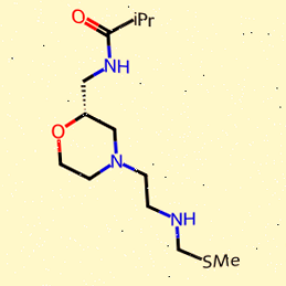 CSCNCCN1CCO[C@H](CNC(=O)C(C)C)C1